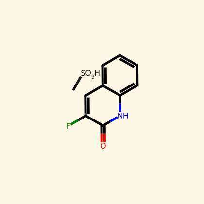 CS(=O)(=O)O.O=c1[nH]c2ccccc2cc1F